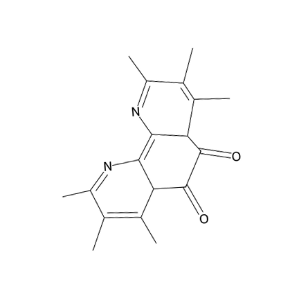 CC1=NC2=C3N=C(C)C(C)=C(C)C3C(=O)C(=O)C2C(C)=C1C